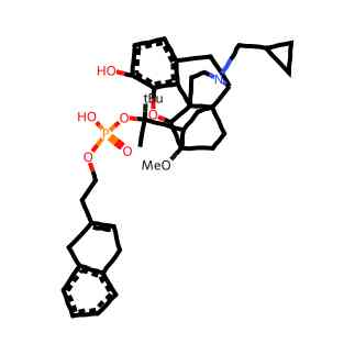 COC12CCC3(CC1C(C)(OP(=O)(O)OCCC1=CCc4ccccc4C1)C(C)(C)C)C1Cc4ccc(O)c5c4C3(CCN1CC1CC1)C2O5